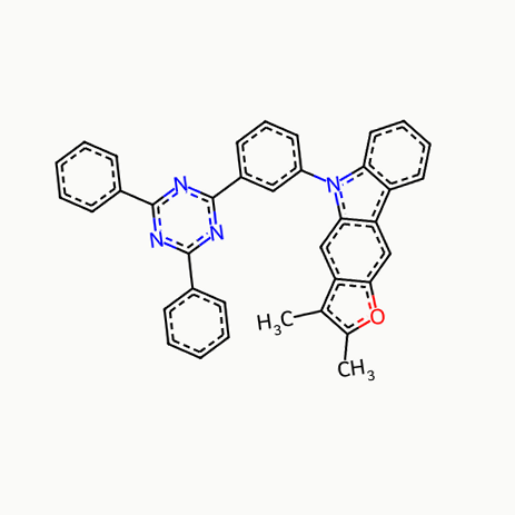 Cc1oc2cc3c4ccccc4n(-c4cccc(-c5nc(-c6ccccc6)nc(-c6ccccc6)n5)c4)c3cc2c1C